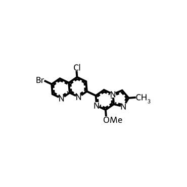 COc1nc(-c2cc(Cl)c3cc(Br)cnc3n2)cn2cc(C)nc12